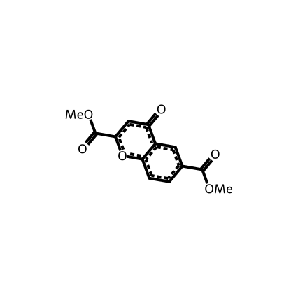 COC(=O)c1ccc2oc(C(=O)OC)cc(=O)c2c1